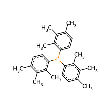 Cc1ccc(P(c2ccc(C)c(C)c2C)c2ccc(C)c(C)c2C)c(C)c1C